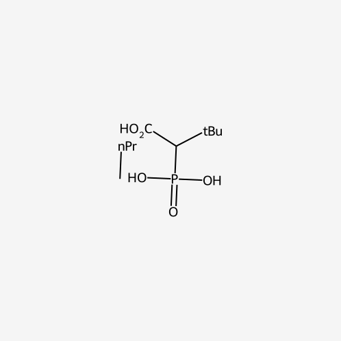 CC(C)(C)C(C(=O)O)P(=O)(O)O.CCCC